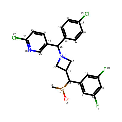 C[S+]([O-])C(c1cc(F)cc(F)c1)C1CN(C(c2ccc(Cl)cc2)c2ccc(Cl)nc2)C1